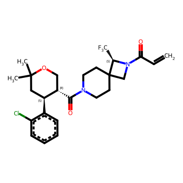 C=CC(=O)N1CC2(CCN(C(=O)[C@H]3COC(C)(C)C[C@@H]3c3ccccc3Cl)CC2)[C@H]1C(F)(F)F